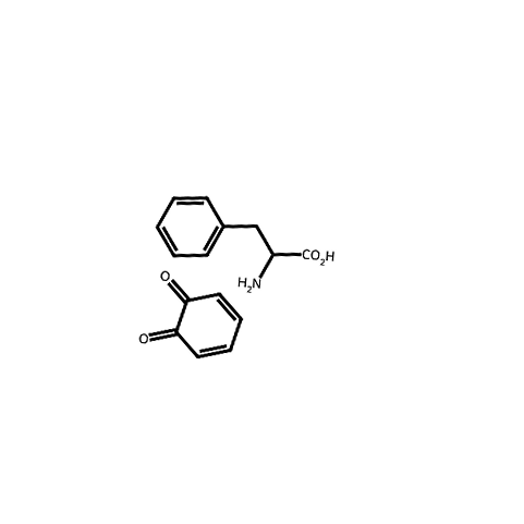 NC(Cc1ccccc1)C(=O)O.O=C1C=CC=CC1=O